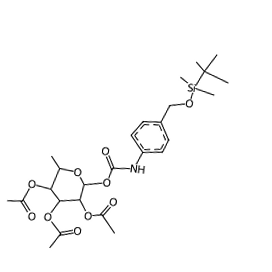 CC(=O)OC1C(C)OC(OC(=O)Nc2ccc(CO[Si](C)(C)C(C)(C)C)cc2)C(OC(C)=O)C1OC(C)=O